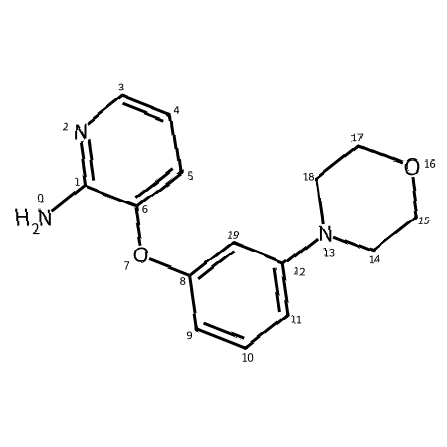 Nc1ncccc1Oc1cccc(N2CCOCC2)c1